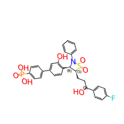 O=P(O)(O)c1ccc(-c2ccc([C@@H]3[C@H](CC[C@H](O)c4ccc(F)cc4)S(=O)(=O)N3c3ccccc3)c(O)c2)cc1